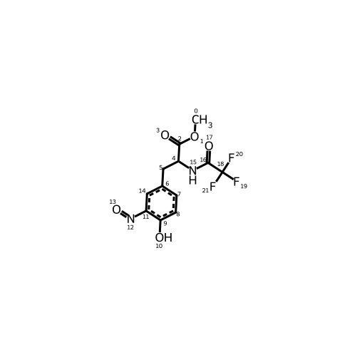 COC(=O)C(Cc1ccc(O)c(N=O)c1)NC(=O)C(F)(F)F